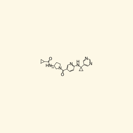 O=C(N[C@H]1CCN(C(=O)c2ccc(NC3(c4cncnc4)CC3)nc2)C1)C1CC1